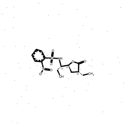 CC[C@@H]1C[C@@H]([C@H](CO)NS(=O)(=O)c2ccccc2[N+](=O)[O-])OC1=O